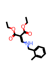 CCOC(=O)C(=CNCc1ccccc1C)C(=O)OCC